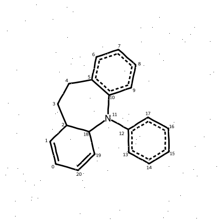 C1=CC2CCc3ccccc3N(c3ccccc3)C2C=C1